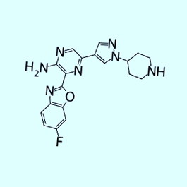 Nc1ncc(-c2cnn(C3CCNCC3)c2)nc1-c1nc2ccc(F)cc2o1